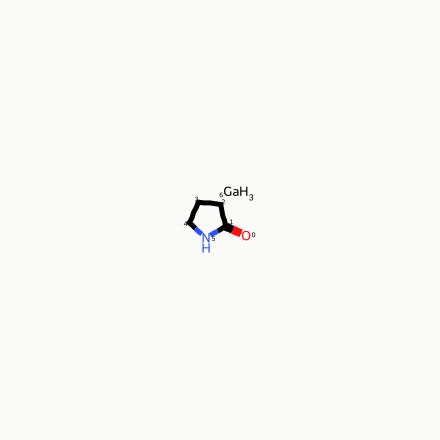 O=C1CCCN1.[GaH3]